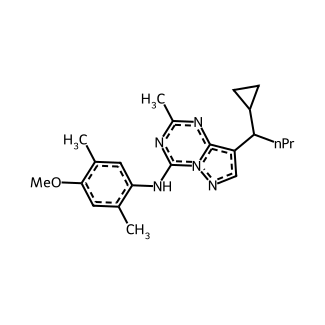 CCCC(c1cnn2c(Nc3cc(C)c(OC)cc3C)nc(C)nc12)C1CC1